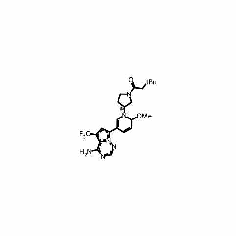 COC1C=CC(c2cc(C(F)(F)F)c3c(N)ncnn23)=CN1[C@H]1CCN(C(=O)CC(C)(C)C)C1